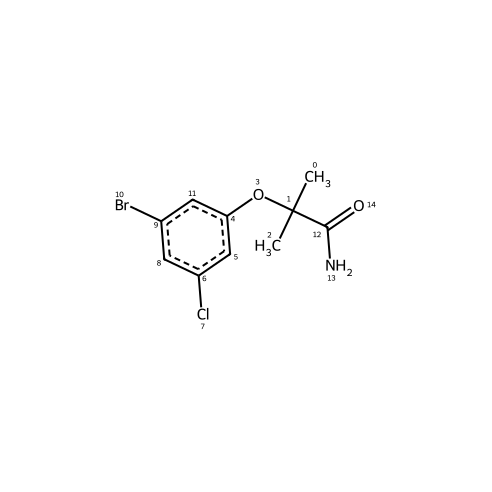 CC(C)(Oc1cc(Cl)cc(Br)c1)C(N)=O